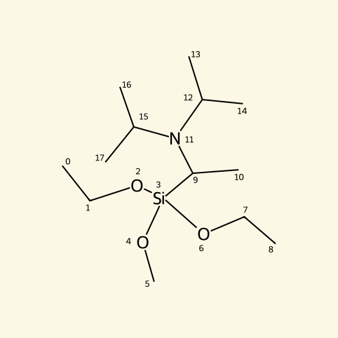 CCO[Si](OC)(OCC)C(C)N(C(C)C)C(C)C